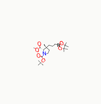 COC(=O)[C@H]1N(C(=O)OC(C)(C)C)CC[C@@]1(C)CCCB1OC(C)(C)C(C)(C)O1